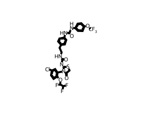 O=C(N=C1SCC(=O)N1c1cc(Cl)ccc1OC(F)C(F)F)NCCc1ccc(NC(=O)Nc2ccc(OC(F)(F)F)cc2)cc1